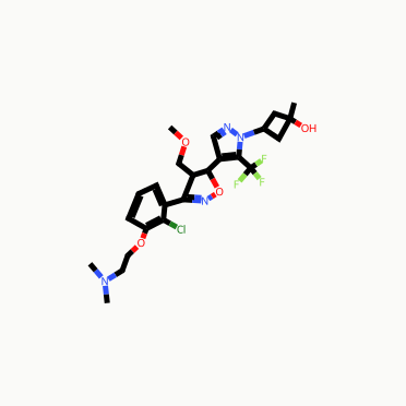 COCC1C(c2cccc(OCCN(C)C)c2Cl)=NOC1c1cnn(C2CC(C)(O)C2)c1C(F)(F)F